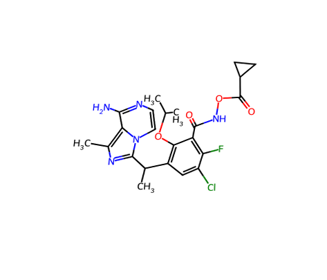 Cc1nc(C(C)c2cc(Cl)c(F)c(C(=O)NOC(=O)C3CC3)c2OC(C)C)n2ccnc(N)c12